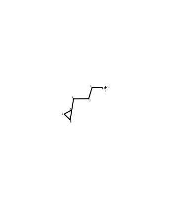 CCCCCCC1[CH]C1